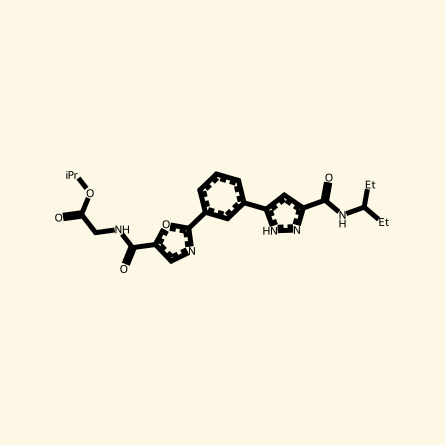 CCC(CC)NC(=O)c1cc(-c2cccc(-c3ncc(C(=O)NCC(=O)OC(C)C)o3)c2)[nH]n1